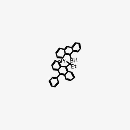 CCCC(Bc1c2ccccc2cc2ccccc12)(CC)c1c2ccccc2c(-c2ccccc2)c2ccccc12